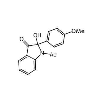 COc1ccc(C2(O)C(=O)c3ccccc3N2C(C)=O)cc1